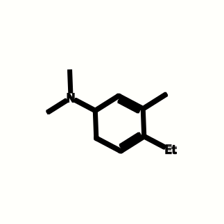 CCC1=CCC(N(C)C)C=C1C